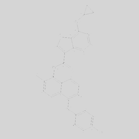 Cc1ccc2c(Nc3ccc(Cl)cc3)nccc2c1NC(=O)c1csc2c(NC3CC3)ncnc12